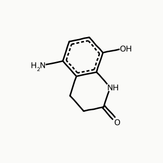 Nc1ccc(O)c2c1CCC(=O)N2